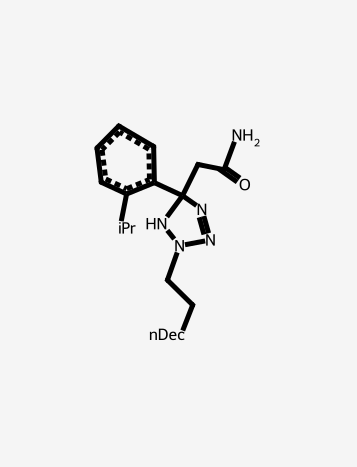 CCCCCCCCCCCCN1N=NC(CC(N)=O)(c2ccccc2C(C)C)N1